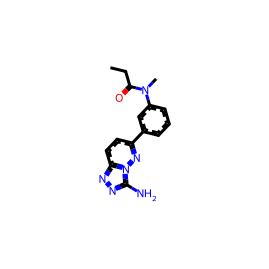 CCC(=O)N(C)c1cccc(-c2ccc3nnc(N)n3n2)c1